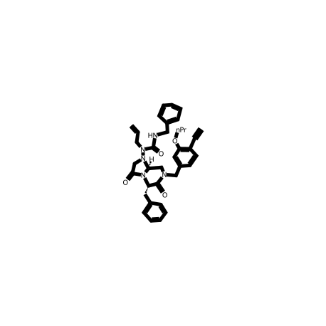 C#Cc1ccc(CN2C[C@H]3N(C(=O)CN3N(CC=C)C(=O)NCc3ccccc3)[C@@H](Cc3ccccc3)C2=O)cc1OCCC